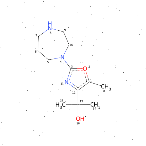 Cc1oc(N2CCCNCC2)nc1C(C)(C)O